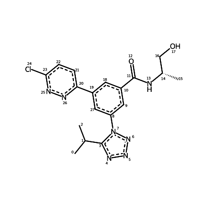 CC(C)c1nnnn1-c1cc(C(=O)N[C@@H](C)CO)cc(-c2ccc(Cl)nn2)c1